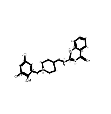 Oc1c(Cl)cc(Cl)cc1CN1CCC(CNc2nc(=S)c3ccccc3[nH]2)CC1